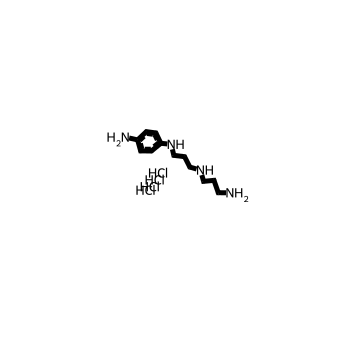 Cl.Cl.Cl.Cl.NCCCNCCCNc1ccc(N)cc1